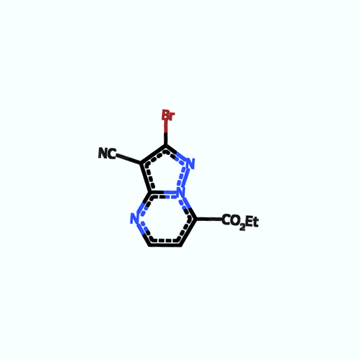 CCOC(=O)c1ccnc2c(C#N)c(Br)nn12